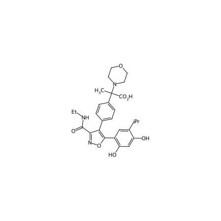 CCNC(=O)c1noc(-c2cc(C(C)C)c(O)cc2O)c1-c1ccc(C(C)(C(=O)O)N2CCOCC2)cc1